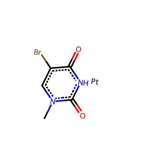 Cn1cc(Br)c(=O)[nH]c1=O.[Pt]